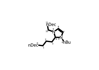 CCCCCCCCCCCCCC1N(CCCC)C=CN1CCCCCCCCCCC